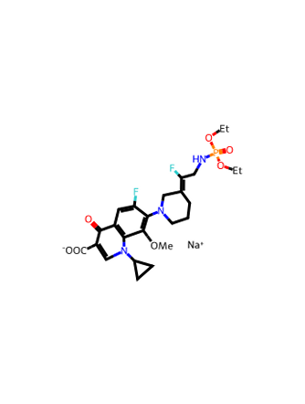 CCOP(=O)(NCC(F)=C1CCCN(c2c(F)cc3c(=O)c(C(=O)[O-])cn(C4CC4)c3c2OC)C1)OCC.[Na+]